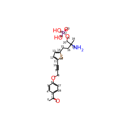 CC(=O)c1ccc(OCC#Cc2ccc(CCC(C)(N)COP(=O)(O)O)s2)cc1